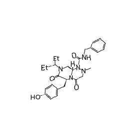 CCC(CC)N1C[C@H]2N(C(=O)CN(C)N2C(=O)NCc2ccccc2)[C@@H](Cc2ccc(O)cc2)C1=O